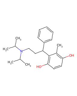 Cc1c(O)ccc(O)c1C(CCN(C(C)C)C(C)C)c1ccccc1